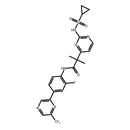 CC(C)(C(=O)Nc1ccc(-c2cncc(C(F)(F)F)n2)cc1F)c1ccnc(NS(=O)(=O)C2CC2)n1